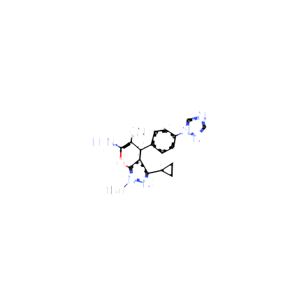 CC(C)(C)n1nc(C2CC2)c2c1OC(N)=C(C#N)C2c1ccc(-n2cncn2)cc1